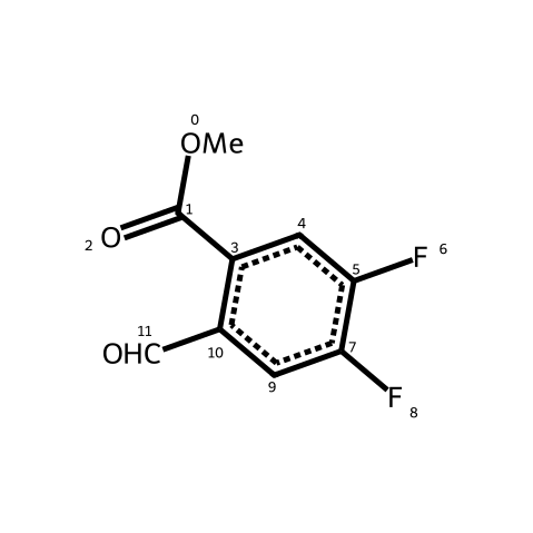 COC(=O)c1cc(F)c(F)cc1C=O